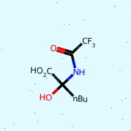 CCCCC(O)(NC(=O)C(F)(F)F)C(=O)O